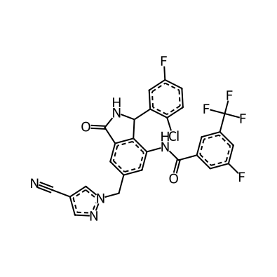 N#Cc1cnn(Cc2cc(NC(=O)c3cc(F)cc(C(F)(F)F)c3)c3c(c2)C(=O)NC3c2cc(F)ccc2Cl)c1